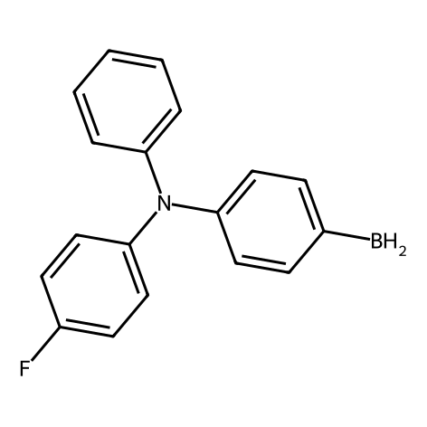 Bc1ccc(N(c2ccccc2)c2ccc(F)cc2)cc1